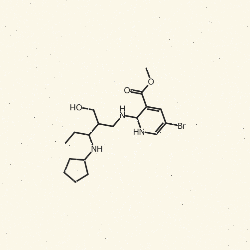 CCC(NC1CCCC1)C(CO)CNC1NC=C(Br)C=C1C(=O)OC